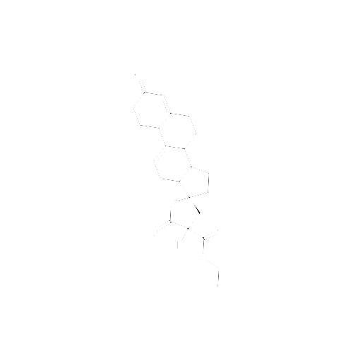 CCOC(=O)C1(F)C[C@@]2(CCC3C4CCC5=CC(=O)CC[C@]5(C)C4=CC[C@@]32C)OC1=O